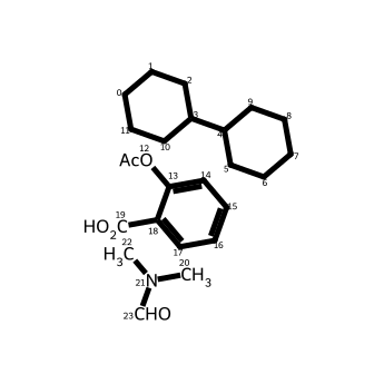 C1CCC(C2CCCCC2)CC1.CC(=O)Oc1ccccc1C(=O)O.CN(C)C=O